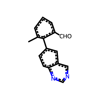 Cc1cccc(C=O)c1-c1ccc2ncncc2c1